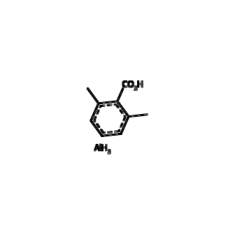 Cc1cccc(C)c1C(=O)O.[AlH3]